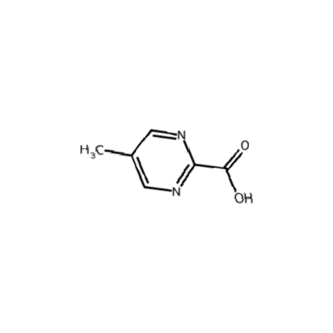 Cc1cnc(C(=O)O)nc1